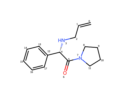 C=CCN[C@H](C(=O)N1CCCC1)c1ccccc1